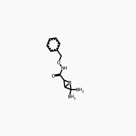 BC1(B)B2C(C(=O)NOCc3ccccc3)C21